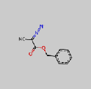 N#CC(=[N+]=[N-])C(=O)OCc1ccccc1